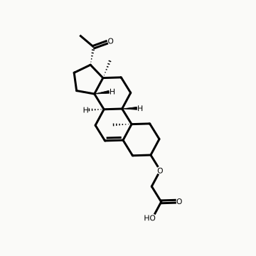 CC(=O)[C@H]1CC[C@H]2[C@@H]3CC=C4CC(OCC(=O)O)CC[C@]4(C)[C@H]3CC[C@]12C